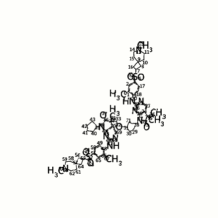 Cc1cc(S(=O)(=O)C2CC3(CCN(C)CC3)C2)ccc1Nc1ncc2c(n1)N(C1CCC(OCC3(C)C(=O)N(C4CCCC4)c4nc(Nc5ccc(S(=O)(=O)C6CC7(CCN(C)CC7)C6)cc5C)ncc43)C1)C(=O)C2(C)C